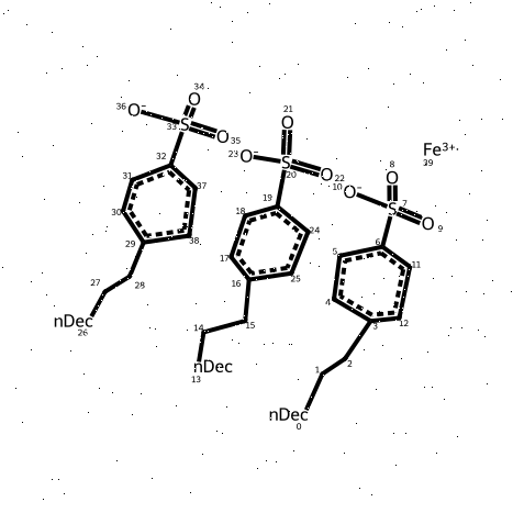 CCCCCCCCCCCCc1ccc(S(=O)(=O)[O-])cc1.CCCCCCCCCCCCc1ccc(S(=O)(=O)[O-])cc1.CCCCCCCCCCCCc1ccc(S(=O)(=O)[O-])cc1.[Fe+3]